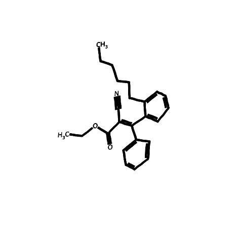 CCCCCCc1ccccc1C(=C(C#N)C(=O)OCC)c1ccccc1